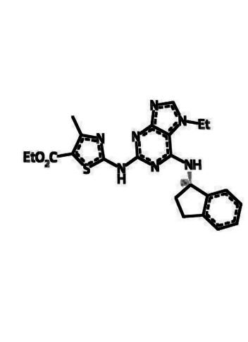 CCOC(=O)c1sc(Nc2nc(N[C@H]3CCc4ccccc43)c3c(ncn3CC)n2)nc1C